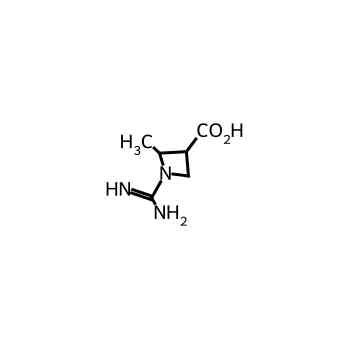 CC1C(C(=O)O)CN1C(=N)N